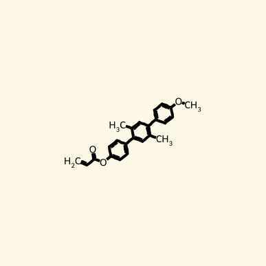 C=CC(=O)Oc1ccc(-c2cc(C)c(-c3ccc(OC)cc3)cc2C)cc1